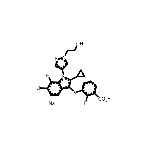 O=C(O)c1cccc(Sc2c(C3CC3)n(-c3cnn(CCO)c3)c3c(F)c(Cl)ccc23)c1F.[Na]